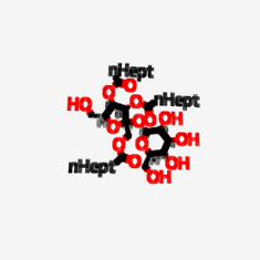 CCCCCCCC(=O)OC[C@@]1(O[C@H]2O[C@H](CO)[C@@H](O)[C@H](O)[C@H]2O)O[C@H](CO)[C@@H](OC(=O)CCCCCCC)[C@@H]1OC(=O)CCCCCCC